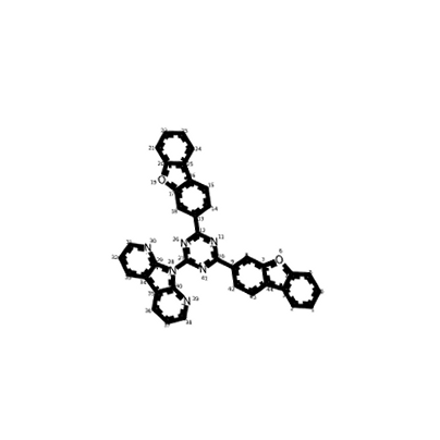 c1ccc2c(c1)oc1cc(-c3nc(-c4ccc5c(c4)oc4ccccc45)nc(-n4c5ncccc5c5cccnc54)n3)ccc12